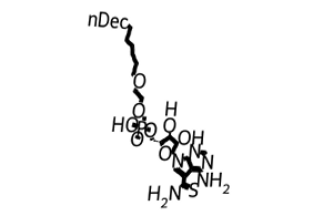 CCCCCCCCCCCCCCCCOCCOCP(=O)(O)OC[C@H]1O[C@@H](n2cc(C(N)=S)c3c(N)ncnc32)[C@H](O)[C@@H]1O